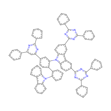 c1ccc(-c2cc(-c3ccc(-c4ccccc4-n4c5ccccc5c5ccccc54)c(-n4c5ccc(-c6nc(-c7ccccc7)nc(-c7ccccc7)n6)cc5c5cc(-c6nc(-c7ccccc7)nc(-c7ccccc7)n6)ccc54)c3)nc(-c3ccccc3)n2)cc1